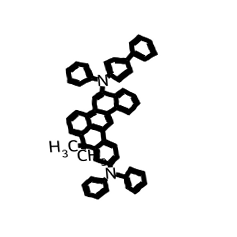 CC1(C)c2cc(N(c3ccccc3)c3ccccc3)ccc2-c2cc3c4ccccc4c(N(c4ccccc4)c4ccc(-c5ccccc5)cc4)cc3c3cccc1c23